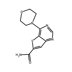 NC(=O)c1cc2ncnc(N3CCOCC3)c2s1